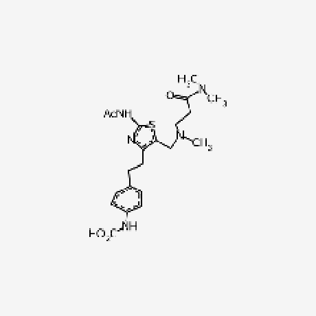 CC(=O)Nc1nc(CCc2ccc(NC(=O)O)cc2)c(CN(C)CCC(=O)N(C)C)s1